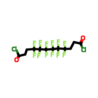 O=C(Cl)CCC(F)(F)C(F)(F)C(F)(F)C(F)(F)C(F)(F)C(F)(F)CCC(=O)Cl